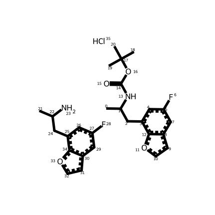 CC(Cc1cc(F)cc2ccoc12)NC(=O)OC(C)(C)C.CC(N)Cc1cc(F)cc2ccoc12.Cl